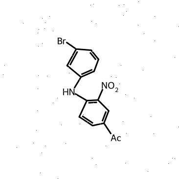 CC(=O)c1ccc(Nc2cccc(Br)c2)c([N+](=O)[O-])c1